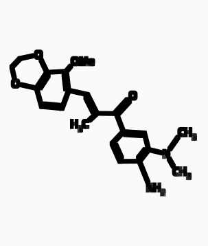 COc1c(/C=C(\C)C(=O)c2ccc(N)c(N(C)C)c2)ccc2c1OCCO2